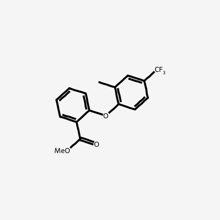 COC(=O)c1ccccc1Oc1ccc(C(F)(F)F)cc1C